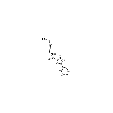 O=C(NCC#CCO)c1cc(-c2ccccc2)on1